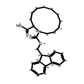 O=C(O)C1CCCCCCCCCCN1C(=O)OCC1c2ccccc2-c2ccccc21